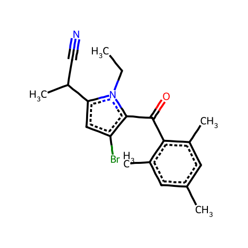 CCn1c(C(C)C#N)cc(Br)c1C(=O)c1c(C)cc(C)cc1C